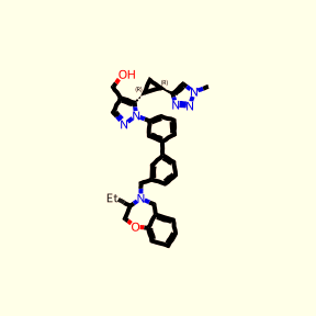 CCC1COc2ccccc2CN1Cc1cccc(-c2cccc(-n3ncc(CO)c3[C@@H]3C[C@H]3c3cn(C)nn3)c2)c1